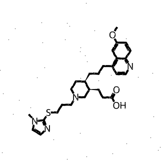 COc1ccc2nccc(CCC[C@@H]3CCN(CCCSc4nccn4C)C[C@@H]3CCC(=O)O)c2c1